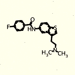 CN(C)CCc1csc2ccc(NC(=O)c3ccc(F)cc3)cc12